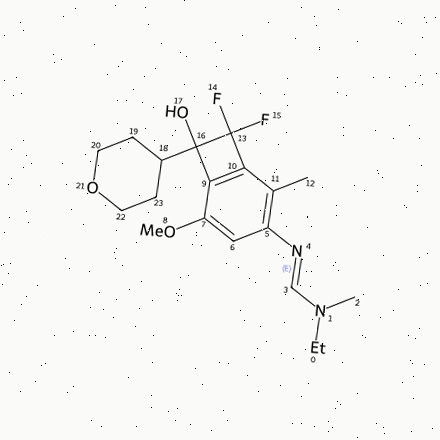 CCN(C)/C=N/c1cc(OC)c2c(c1C)C(F)(F)C2(O)C1CCOCC1